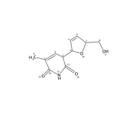 CC1=CC(C2C=CC(CO)O2)C(=O)NC1=O